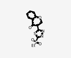 CCS(=O)(=O)c1nnc(-c2coc3ccccc3c2=O)s1